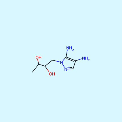 CC(O)C(O)Cn1ncc(N)c1N